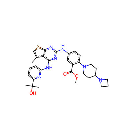 COC(=O)c1cc(Nc2nc(Nc3cccc(C(C)(C)O)n3)c3c(C)csc3n2)ccc1N1CCC(N2CCC2)CC1